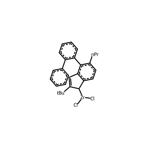 CCCc1ccc2c(c1-c1ccccc1-c1ccccc1)C=C(C(C)(C)C)[CH]2[Zr]([Cl])[Cl]